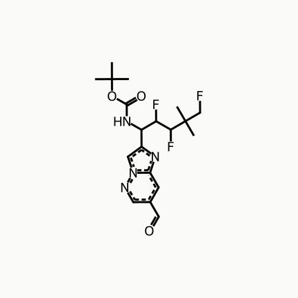 CC(C)(C)OC(=O)NC(c1cn2ncc(C=O)cc2n1)C(F)C(F)C(C)(C)CF